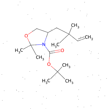 C=CC(C)(C)CC1COC(C)(C)N1C(=O)OC(C)(C)C